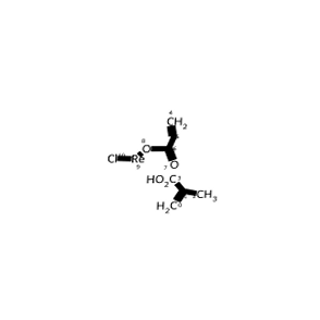 C=C(C)C(=O)O.C=CC(=O)[O][Re][Cl]